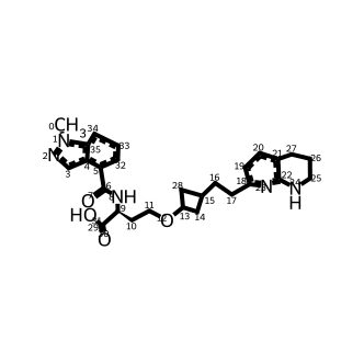 Cn1ncc2c(C(=O)N[C@@H](CCOC3CC(CCc4ccc5c(n4)NCCC5)C3)C(=O)O)cccc21